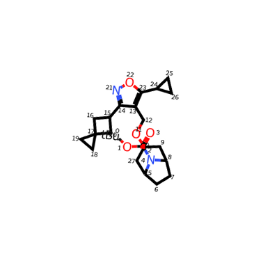 CC(C)(C)OC(=O)N1C2CCC1CC(OCc1c(C3CC4(CC4)C3)noc1C1CC1)C2